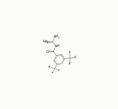 N=C(N)NC(=O)c1cc(C(F)(F)F)cc(C(F)(F)F)c1